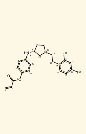 C=CC(=O)Oc1cnc(N[C@@H]2CCN(CCc3ccc(F)cc3F)C2)cn1